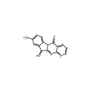 N=C1c2cc([N+](=O)[O-])ccc2-n2c1nc1ncccc1c2=O